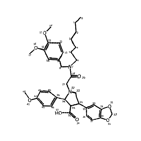 CCCCCCCN(Cc1ccc(OC)c(OC)c1)C(=O)CN1CC(c2ccc3c(c2)OCO3)C(C(=O)O)C1c1ccc(OC)cc1